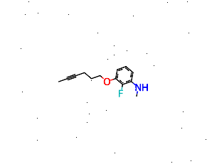 CC#CCCCOc1cccc(NC)c1F